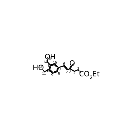 CCOC(=O)CCC(=O)/C=C/c1ccc(CO)c(CO)c1